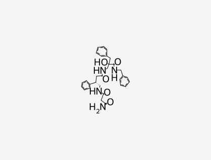 NC(=O)CC(=O)NC[C@@H](CC(=O)NC[C@](O)(Cc1ccccc1)C(=O)NCc1ccccc1)c1ccccc1